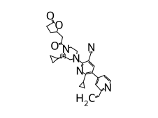 C=Cc1cc(-c2cc(C#N)c(N3CCN(C(=O)CC4CCC(=O)O4)[C@H](C4CC4)C3)nc2C2CC2)ccn1